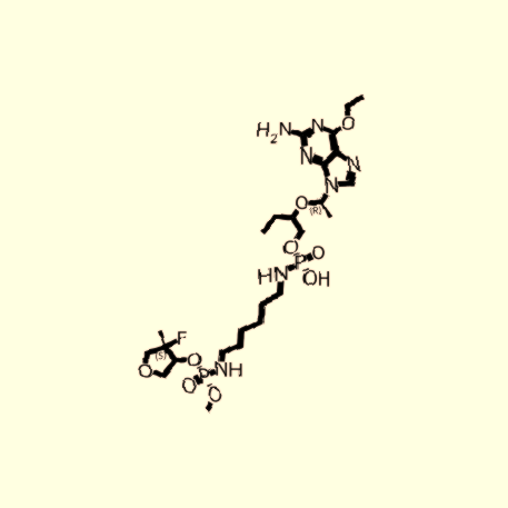 CCOc1nc(N)nc2c1ncn2[C@@H](C)OC(CC)COP(=O)(O)NCCCCCCNP(=O)(OC)OC1COC[C@]1(C)F